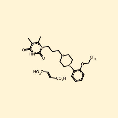 Cc1c(C)n(CCCN2CCN(c3ccccc3OCC(F)(F)F)CC2)c(=O)[nH]c1=O.O=C(O)C=CC(=O)O